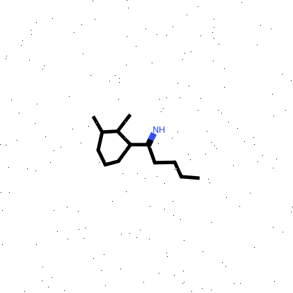 CCCCC(=N)C1CCCC(C)C1C